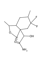 CC1OC(=O)C2(C(O)C(N)=O)CC(F)(F)C(C)CC12